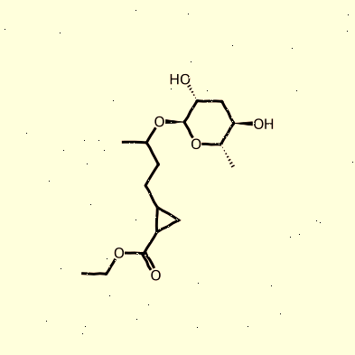 CCOC(=O)C1CC1CCC(C)O[C@@H]1O[C@@H](C)[C@H](O)C[C@H]1O